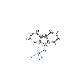 FC(F)(F)Cn1c2ccccc2c2ccccc21